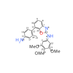 COc1cc(Nc2nc3cccc(-c4ccc(N)cc4C)c3o2)cc(OC)c1OC